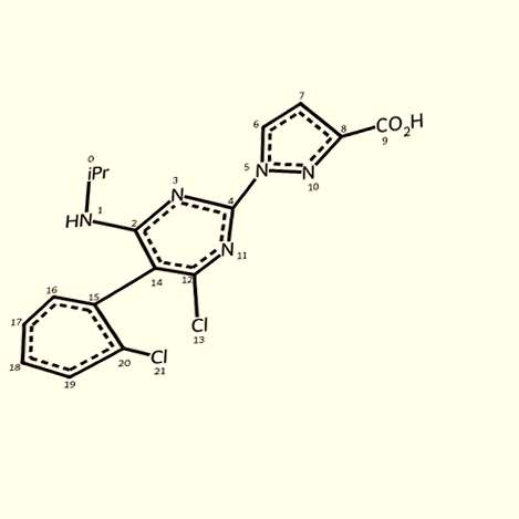 CC(C)Nc1nc(-n2ccc(C(=O)O)n2)nc(Cl)c1-c1ccccc1Cl